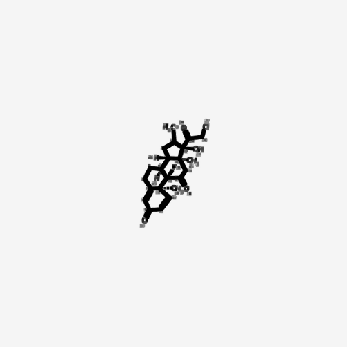 CC1C[C@H]2[C@@H]3CCC4=CC(=O)C=C[C@]4(C)[C@@]3(F)C(=O)C[C@]2(C)[C@@]1(O)C(=O)CCl